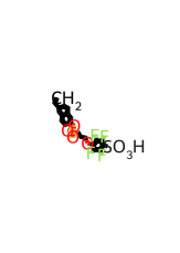 C=Cc1ccc2cc(OS(=O)(=O)CCCOc3c(F)c(F)c(S(=O)(=O)O)c(F)c3F)ccc2c1